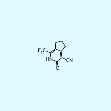 N#Cc1c2c(c(C(F)(F)F)[nH]c1=O)CCC2